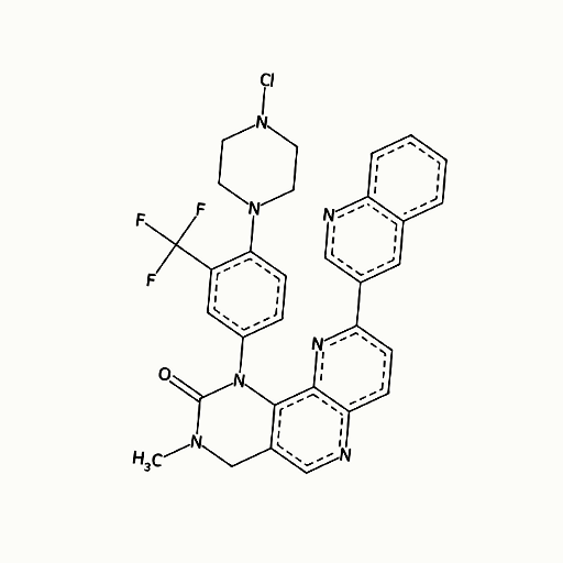 CN1Cc2cnc3ccc(-c4cnc5ccccc5c4)nc3c2N(c2ccc(N3CCN(Cl)CC3)c(C(F)(F)F)c2)C1=O